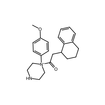 COc1ccc([N+]2(C(=O)CC3CCCc4ccccc43)CCNCC2)cc1